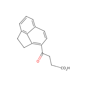 O=C(O)CCC(=O)c1ccc2cccc3c2c1CC3